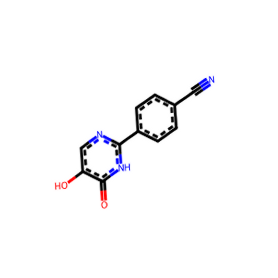 N#Cc1ccc(-c2ncc(O)c(=O)[nH]2)cc1